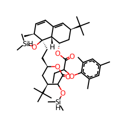 CCC(Oc1c(C)cc(C)cc1C)C(=O)O[C@H]1C[C@H](C(C)(C)C)C=C2C=C[C@H](C)[C@](CC[C@@H]3C[C@H](C(C)(C)C)C(O[SiH](C)C)C(=O)O3)(O[SiH](C)C)[C@H]21